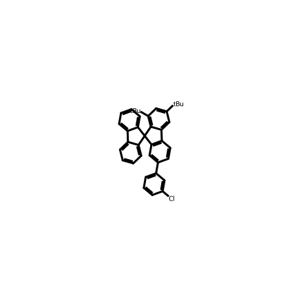 CC(C)(C)c1cc2c(c(C(C)(C)C)c1)C1(c3ccccc3-c3ccccc31)c1cc(-c3cccc(Cl)c3)ccc1-2